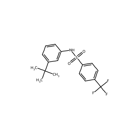 CC(C)(C)c1cccc(NS(=O)(=O)c2ccc(C(F)(F)F)cc2)c1